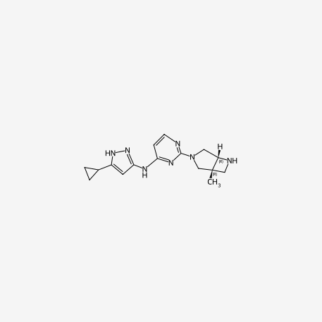 C[C@]12CN[C@H]1CN(c1nccc(Nc3cc(C4CC4)[nH]n3)n1)C2